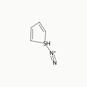 N#[N+][SH]1C=CC=C1